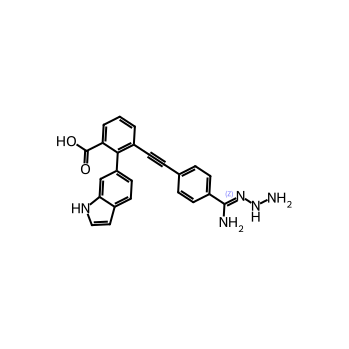 NN/N=C(\N)c1ccc(C#Cc2cccc(C(=O)O)c2-c2ccc3cc[nH]c3c2)cc1